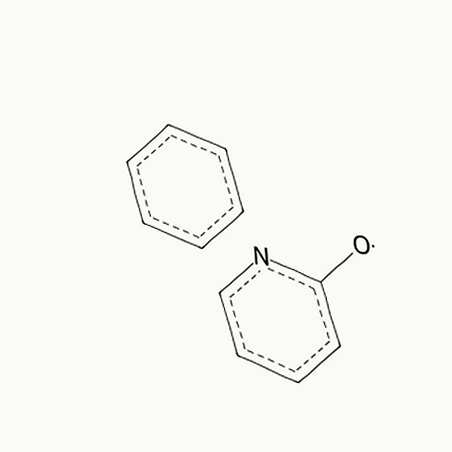 [O]c1ccccn1.c1ccccc1